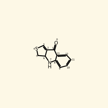 O=C1C2=CSCC2Nc2ccccc21